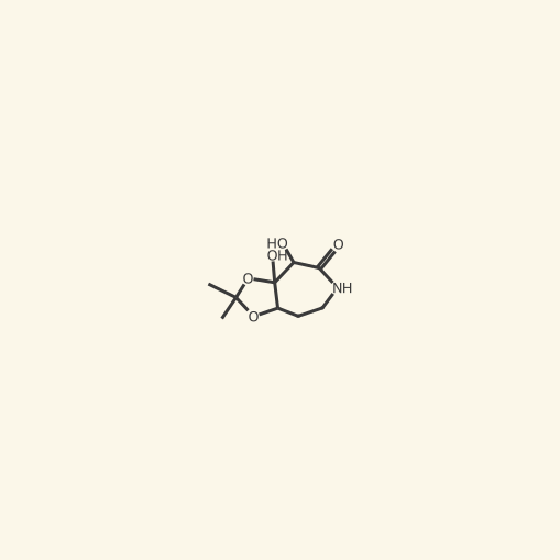 CC1(C)OC2CCNC(=O)C(O)C2(O)O1